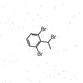 CC(Br)c1c(Br)cccc1Br